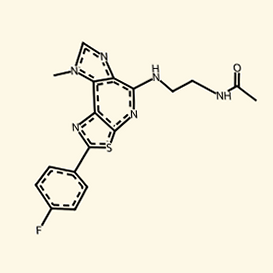 CC(=O)NCCNc1nc2sc(-c3ccc(F)cc3)nc2c2c1ncn2C